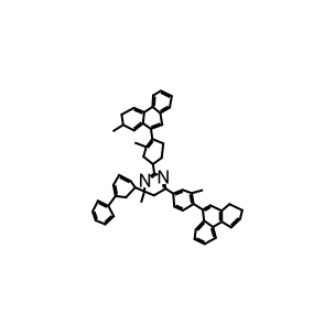 CC1=C(c2cc3ccccc3c3c2=CC(C)CC=3)CCC(C2=NC(C)(C3C=CC=C(c4ccccc4)C3)CC(c3ccc(-c4cc5c(c6ccccc46)C=CCC5)c(C)c3)=N2)C1